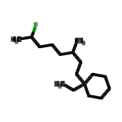 CCC1(CCC(C)CCCC(C)F)CCCCC1